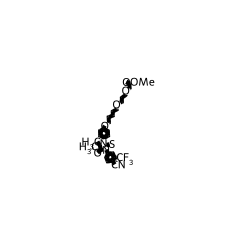 COC(=O)COCCCOCCCCCOc1ccc(N2C(=S)N(c3ccc(C#N)c(C(F)(F)F)c3)C(=O)C2(C)C)cc1